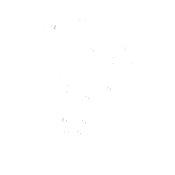 CC(=O)Nc1ccc2oc(-c3cc(C(=O)N4CCN([C@H](C5=NN(C(F)F)NN5)c5ccccc5)CC4)ccn3)nc2c1